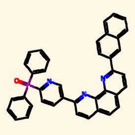 O=P(c1ccccc1)(c1ccccc1)c1ccc(-c2ccc3ccc4ccc(-c5ccc6ccccc6c5)nc4c3n2)cn1